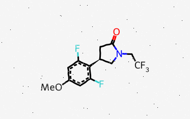 COc1cc(F)c([C@H]2CC(=O)N(CC(F)(F)F)C2)c(F)c1